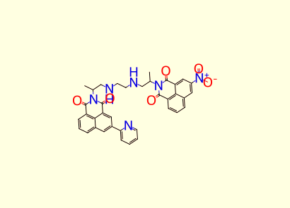 CC(CNCCNCC(C)N1C(=O)c2cccc3cc([N+](=O)[O-])cc(c23)C1=O)N1C(=O)c2cccc3cc(-c4ccccn4)cc(c23)C1=O